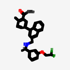 COC(=O)c1cc(-c2cc(CN[C@H](C)c3cccc(OCC(F)F)c3)cc3ccccc23)ccc1C